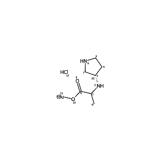 CC(N[C@H]1CCNC1)C(=O)OC(C)(C)C.Cl